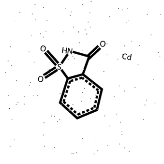 O=C1NS(=O)(=O)c2ccccc21.[Cd]